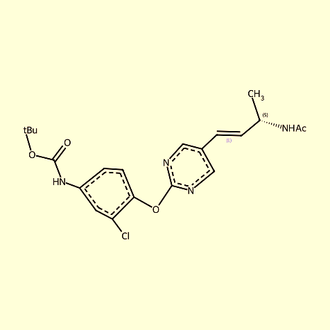 CC(=O)N[C@@H](C)/C=C/c1cnc(Oc2ccc(NC(=O)OC(C)(C)C)cc2Cl)nc1